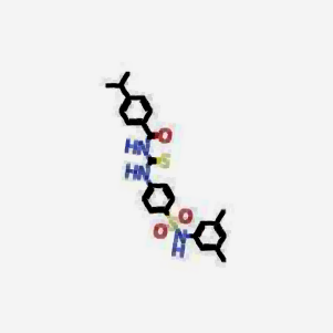 Cc1cc(C)cc(NS(=O)(=O)c2ccc(NC(=S)NC(=O)c3ccc(C(C)C)cc3)cc2)c1